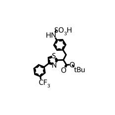 CC(C)(C)OC(=O)C(Cc1ccc(NS(=O)(=O)O)cc1)c1nc(-c2cccc(C(F)(F)F)c2)cs1